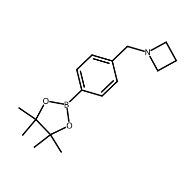 CC1(C)OB(c2ccc(CN3CCC3)cc2)OC1(C)C